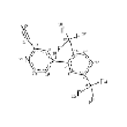 N#Cc1cc(-c2cc(C(F)(F)F)ccc2C(F)(F)F)ccn1